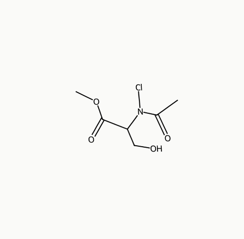 COC(=O)C(CO)N(Cl)C(C)=O